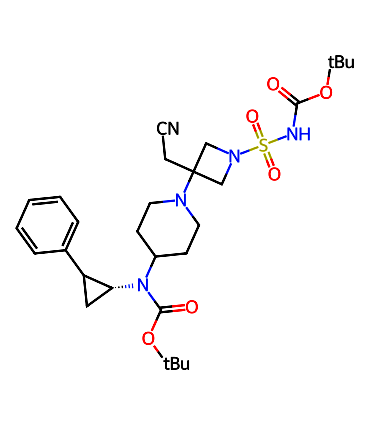 CC(C)(C)OC(=O)NS(=O)(=O)N1CC(CC#N)(N2CCC(N(C(=O)OC(C)(C)C)[C@@H]3CC3c3ccccc3)CC2)C1